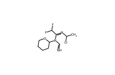 CC(Cl)/N=C(/C(F)F)N(C=N)C1CCCCO1